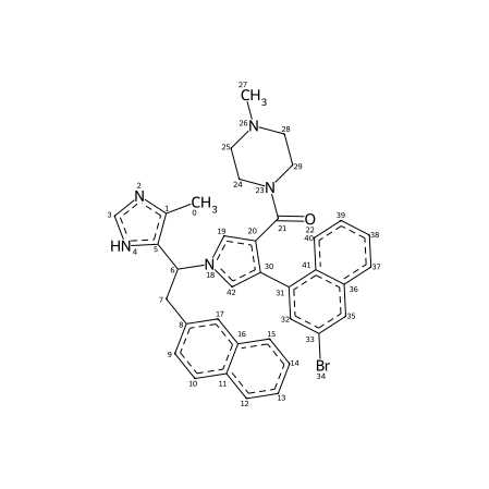 Cc1nc[nH]c1C(Cc1ccc2ccccc2c1)n1cc(C(=O)N2CCN(C)CC2)c(-c2cc(Br)cc3ccccc23)c1